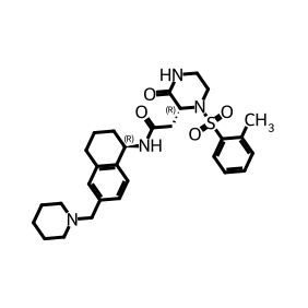 Cc1ccccc1S(=O)(=O)N1CCNC(=O)[C@H]1CC(=O)N[C@@H]1CCCc2cc(CN3CCCCC3)ccc21